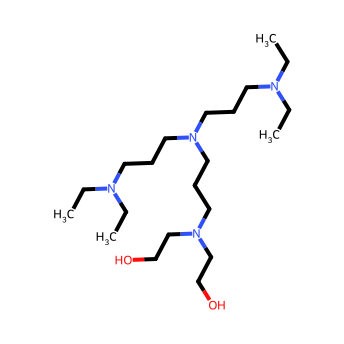 CCN(CC)CCCN(CCCN(CC)CC)CCCN(CCO)CCO